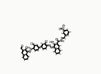 O=Cc1cc2ccccc2c(N=Nc2ccc(-c3ccc(N=Nc4c(O)c(C(=O)NN=Cc5cccc([N+](=O)[O-])c5)cc5ccccc45)c(Cl)c3)cc2Cl)c1O